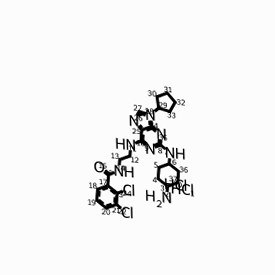 Cl.Cl.NC1CCC(Nc2nc(NCCNC(=O)c3cccc(Cl)c3Cl)c3ncn(C4CCCC4)c3n2)CC1